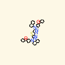 c1ccc2c(N(c3ccc4c(c3)oc3ccccc34)c3cc4sc5cc(N(c6ccc7c(c6)oc6ccccc67)c6cccc7ccccc67)nnc5c4nn3)cccc2c1